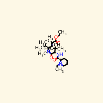 CCOC(=O)/C(C)=C/[C@H](C(C)C)N(C)C(=O)[C@@H](NC(=O)[C@H]1CCCCN1CC)C(C)(C)C